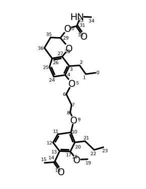 CCCc1c(OCCCOc2ccc(C(C)=O)c(OC)c2CCC)ccc2c1OC(OC(=O)NC)CC2